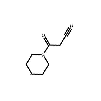 N#CCC(=O)N1CC[CH]CC1